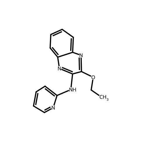 CCOc1nc2ccccc2nc1Nc1ccccn1